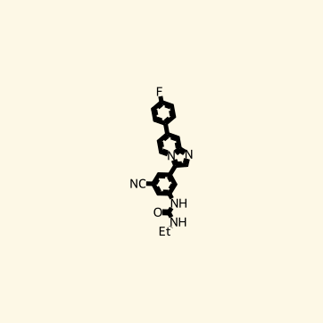 CCNC(=O)Nc1cc(C#N)cc(-c2cnc3cc(-c4ccc(F)cc4)ccn23)c1